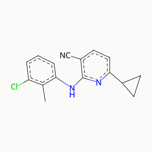 Cc1c(Cl)cccc1Nc1nc(C2CC2)ccc1C#N